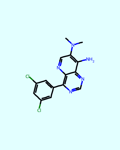 CN(C)c1cnc2c(-c3cc(Cl)cc(Cl)c3)ncnc2c1N